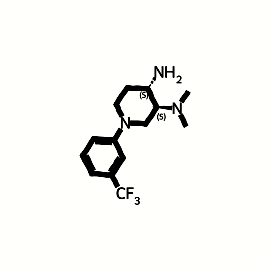 CN(C)[C@H]1CN(c2cccc(C(F)(F)F)c2)CC[C@@H]1N